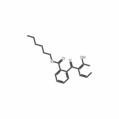 C/C=C\C(C(=O)c1ccccc1C(=O)OCCCCCC)=C(/C)O